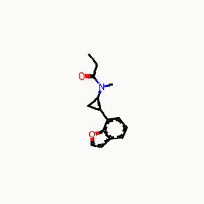 CCC(=O)N(C)C1CC1c1cccc2ccoc12